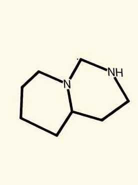 [CH]1NCCC2CCCCN12